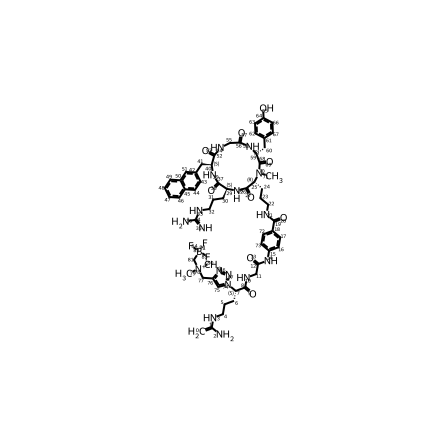 C=C(N)NCCC[C@@H](C(=O)NCC(=O)Nc1ccc(C(=O)NCCC[C@@H]2C(=O)N[C@@H](CCCNC(=N)N)C(=O)N[C@@H](Cc3ccc4ccccc4c3)C(=O)NCC(=O)N[C@H](Cc3ccc(O)cc3)C(=O)N2C)cc1)n1cc(C[N+](C)(C)C[B-](F)(F)F)nn1